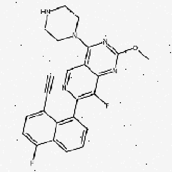 C#Cc1ccc(F)c2cccc(-c3ncc4c(N5CCNCC5)nc(OC)nc4c3F)c12